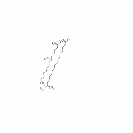 CC(C)CCCCCCCCCCCCCCC(=O)[O-].CCCCCCCCCCCCCC(=O)[O-].[Al+2]